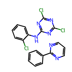 Clc1nc(Cl)nc(Nc2ccccc2Cl)n1.c1ccc(-c2ncccn2)cc1